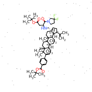 C=C(C)[C@@H]1CC[C@]2(CN[C@@H](CC(=O)OC(C)(C)C)C(=O)N3CCC(F)(F)C3)CC[C@]3(C)[C@H](CC[C@@H]4[C@@]5(C)CC=C(c6ccc(C(=O)OC(C)(C)C)cc6)C(C)(C)[C@@H]5CC[C@]43C)[C@@H]12